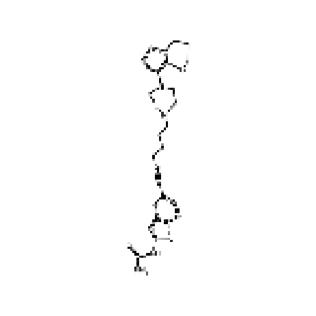 NC(=O)Nc1cc2cc(C#[N+]CCCCN3CCN(c4cccc5c4OCCC5)CC3)ccc2s1